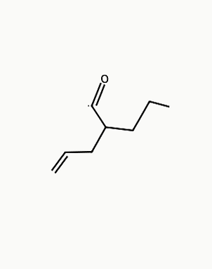 C=CCC([C]=O)CCC